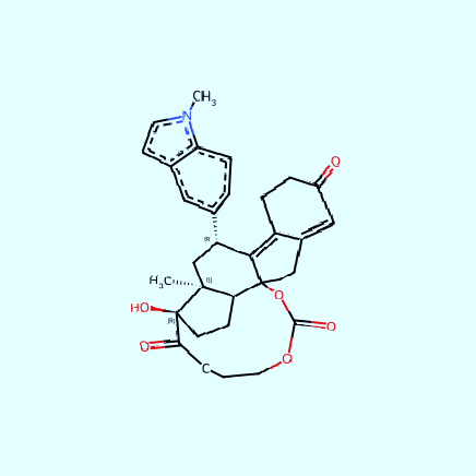 Cn1ccc2cc([C@H]3C[C@@]4(C)C5CC[C@]4(O)C(=O)CCCOC(=O)OC54CCC5=CC(=O)CCC5=C34)ccc21